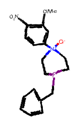 COc1cc([N+]2([O-])CCP(Cc3ccccc3)CC2)ccc1[N+](=O)[O-]